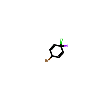 ClC1(I)C=CC(Br)C=C1